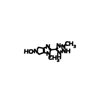 CN1N=C(c2nc3c(n2C)CN(O)C3)NN1